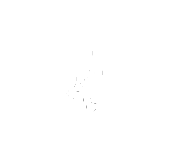 CN(CC(O)CO)C(=O)Nc1cc(-c2cc3ccccc3s2)c2[nH]ncc2c1